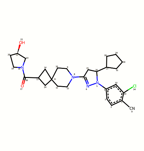 N#Cc1ccc(N2N=C(N3CCC4(CC3)CC(C(=O)N3CC[C@@H](O)C3)C4)CC2C2CCCC2)cc1Cl